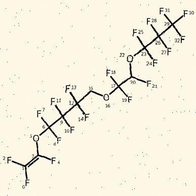 FC(F)=C(F)OC(F)(F)C(F)(F)C(F)(F)COC(F)(F)C(F)OC(F)(F)C(F)(F)C(F)(F)F